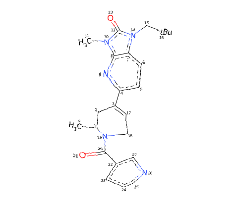 CC1CC(c2ccc3c(n2)n(C)c(=O)n3CC(C)(C)C)=CCN1C(=O)c1cccnc1